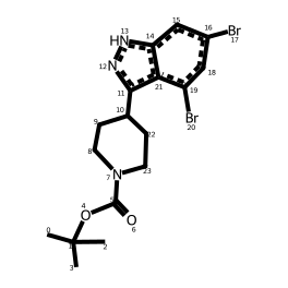 CC(C)(C)OC(=O)N1CCC(c2n[nH]c3cc(Br)cc(Br)c23)CC1